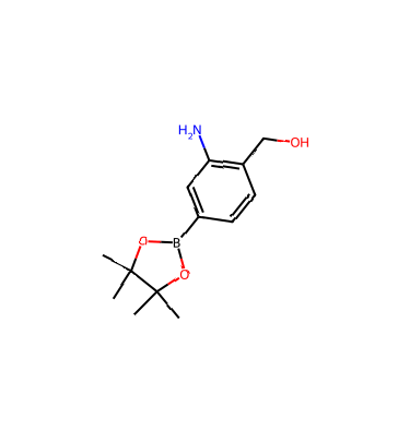 CC1(C)OB(c2ccc(CO)c(N)c2)OC1(C)C